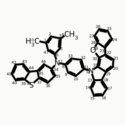 Cc1cc(C)cc(N(c2ccc(-n3c4ccccc4c4ccc5c6ccccc6oc5c43)cc2)c2ccc3sc4ccccc4c3c2)c1